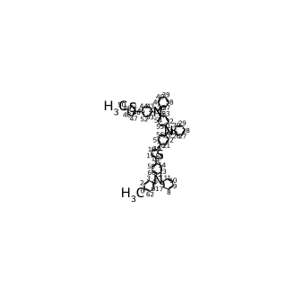 Cc1ccc(N(c2ccccc2)c2ccc(-c3ccc(-c4ccc(N(c5ccccc5)c5ccc(N(c6ccccc6)c6ccc(-c7ccc(C)s7)cc6)cc5)cc4)s3)cc2)cc1